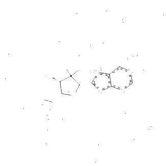 OC[C@H]1O[C@@H](c2nc3ncncc3[nH]2)C(F)(F)[C@@H]1O